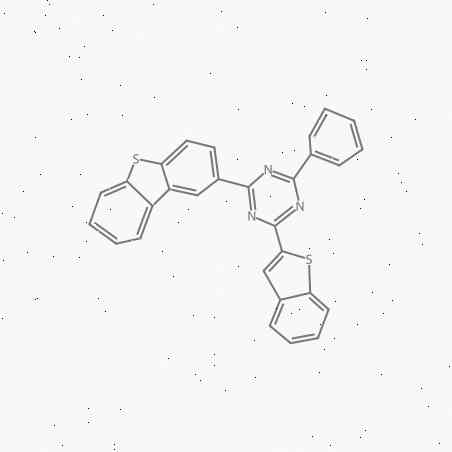 c1ccc(-c2nc(-c3ccc4sc5ccccc5c4c3)nc(-c3cc4ccccc4s3)n2)cc1